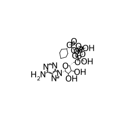 Nc1ncnc2c1ncn2[C@@H]1O[C@H](COP(=O)(O)OP(=O)(O)OP(=O)(O)OC2CCCCC2)[C@@H](O)[C@H]1O